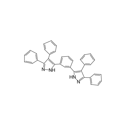 c1ccc(-c2n[nH]c(-c3cccc(-c4[nH]nc(-c5ccccc5)c4-c4ccccc4)c3)c2-c2ccccc2)cc1